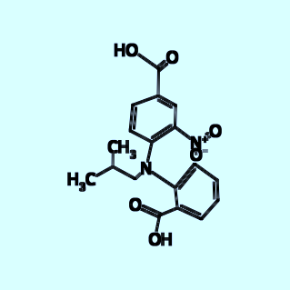 CC(C)CN(c1ccccc1C(=O)O)c1ccc(C(=O)O)cc1[N+](=O)[O-]